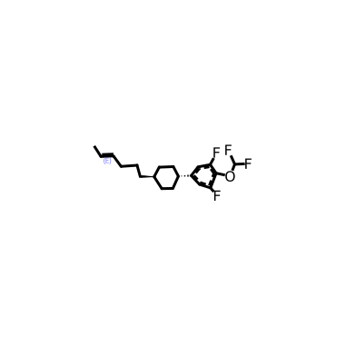 C/C=C/CCC[C@H]1CC[C@H](c2cc(F)c(OC(F)F)c(F)c2)CC1